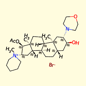 CC(=O)O[C@@H]1[C@@H]([N+]2(C)CCCCC2)C[C@H]2[C@@H]3CC[C@H]4C[C@H](O)[C@@H](N5CCOCC5)C[C@]4(C)[C@H]3CC[C@]12C.[Br-]